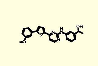 COc1cccc(-c2ccc(-c3ccnc(Nc4cccc(C(C)O)c4)n3)s2)c1